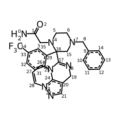 NC(=O)CN1CCN(Cc2ccccc2)CC1(C1=NCc2cnn3c2N1CC=C3)c1cccc(C(F)(F)F)c1